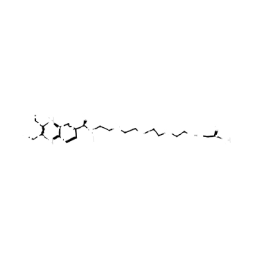 O=C(O)CCOCCOCCOCCOCCNC(=O)c1ccc2nc(CBr)c(CBr)nc2c1